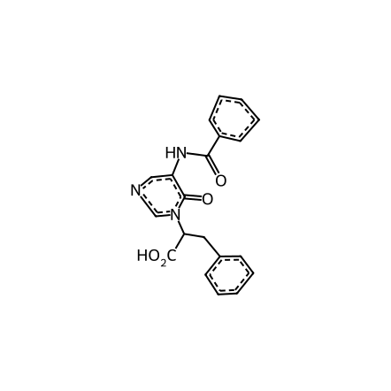 O=C(Nc1cncn(C(Cc2ccccc2)C(=O)O)c1=O)c1ccccc1